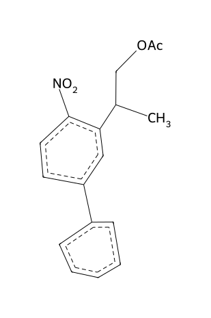 CC(=O)OCC(C)c1cc(-c2ccccc2)ccc1[N+](=O)[O-]